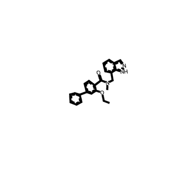 CCOc1cc(-c2ccccc2)ccc1C(=O)N(C)Cc1cccc2cn[nH]c12